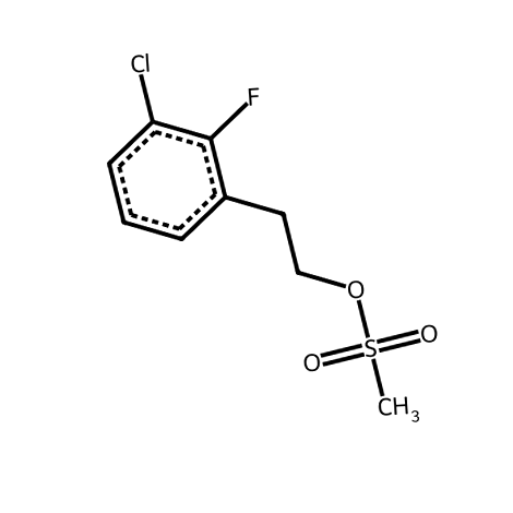 CS(=O)(=O)OCCc1cccc(Cl)c1F